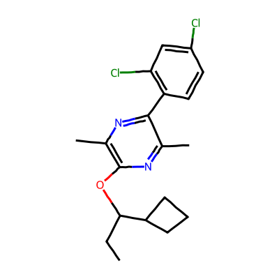 CCC(Oc1nc(C)c(-c2ccc(Cl)cc2Cl)nc1C)C1CCC1